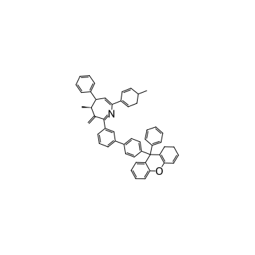 C=C1C(c2cccc(-c3ccc(C4(c5ccccc5)C5=C(C=CCC5)Oc5ccccc54)cc3)c2)=NC(C2=CCC(C)C=C2)=CC(c2ccccc2)[C@@H]1C